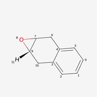 c1ccc2c(c1)CC1O[C@H]1C2